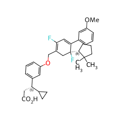 COc1cccc(C2=CC(F)=C(COc3cccc([C@@H](CC(=O)O)C4CC4)c3)CC2(F)[C@@H]2CCCC2(C)C)c1